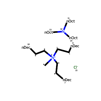 CCCCCCCCCCCC[N+](C)(CCCCCCCCCCCC)CCCCCCCCCCCC.CCCCCCCCN(CCCCCCCC)CCCCCCCC.[Cl-]